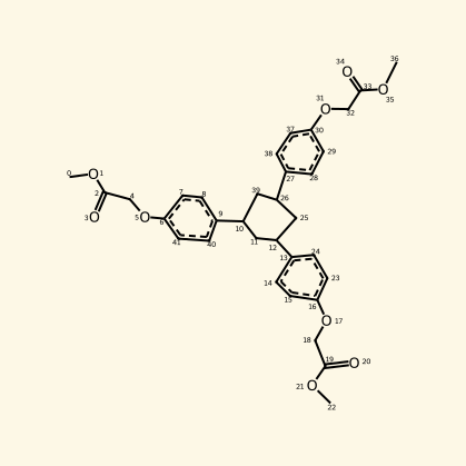 COC(=O)COc1ccc(C2CC(c3ccc(OCC(=O)OC)cc3)CC(c3ccc(OCC(=O)OC)cc3)C2)cc1